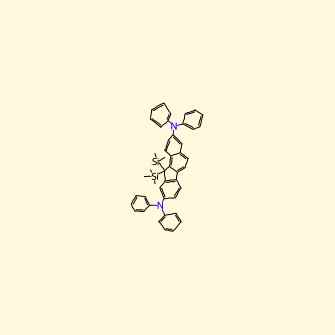 C[Si](C)(C)C1([Si](C)(C)C)c2cc(N(c3ccccc3)c3ccccc3)ccc2-c2ccc3cc(N(c4ccccc4)c4ccccc4)ccc3c21